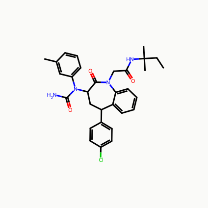 CCC(C)(C)NC(=O)CN1C(=O)C(N(C(N)=O)c2cccc(C)c2)CC(c2ccc(Cl)cc2)c2ccccc21